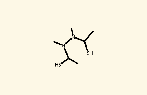 CC(S)N(C)N(C)C(C)S